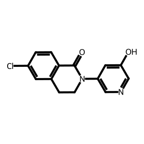 O=C1c2ccc(Cl)cc2CCN1c1cncc(O)c1